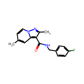 Cc1ccn2nc(C)c(C(=O)NCc3ccc(F)cc3)c2c1